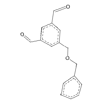 O=Cc1cc(C=O)cc(COCc2ccccc2)c1